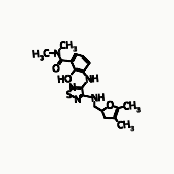 CC1=C(C)OC(CNc2nsnc2Nc2cccc(C(=O)N(C)C)c2O)C1